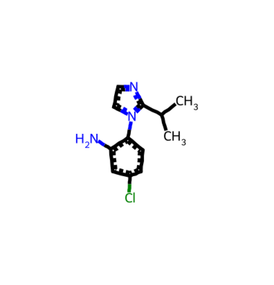 CC(C)c1nccn1-c1ccc(Cl)cc1N